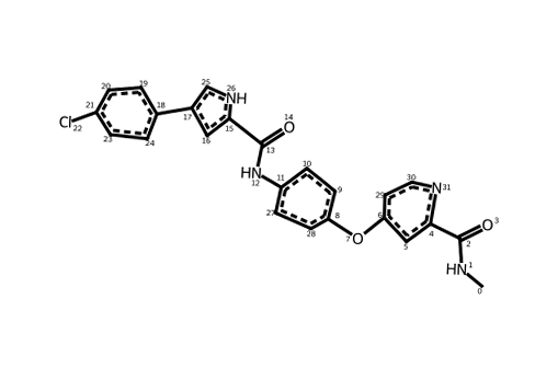 CNC(=O)c1cc(Oc2ccc(NC(=O)c3cc(-c4ccc(Cl)cc4)c[nH]3)cc2)ccn1